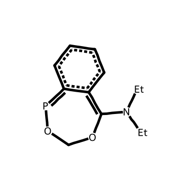 CCN(CC)C1=c2ccccc2=POCO1